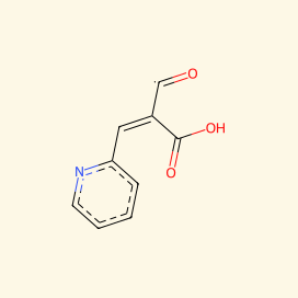 O=[C]C(=Cc1ccccn1)C(=O)O